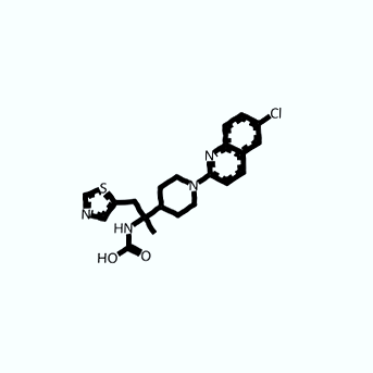 CC(Cc1cncs1)(NC(=O)O)C1CCN(c2ccc3cc(Cl)ccc3n2)CC1